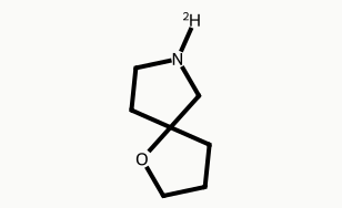 [2H]N1CCC2(CCCO2)C1